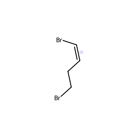 Br/C=C\CCBr